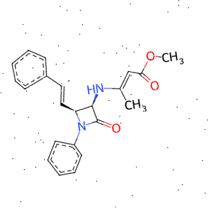 COC(=O)/C=C(\C)N[C@H]1C(=O)N(c2ccccc2)[C@H]1/C=C/c1ccccc1